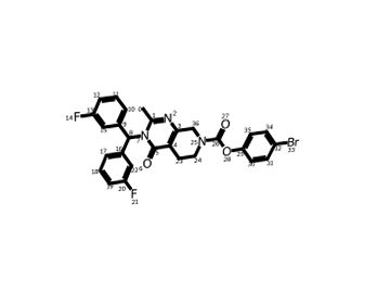 Cc1nc2c(c(=O)n1C(c1cccc(F)c1)c1cccc(F)c1)CCN(C(=O)Oc1ccc(Br)cc1)C2